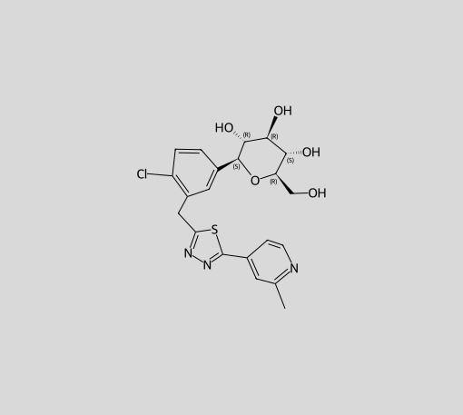 Cc1cc(-c2nnc(Cc3cc([C@@H]4O[C@H](CO)[C@@H](O)[C@H](O)[C@H]4O)ccc3Cl)s2)ccn1